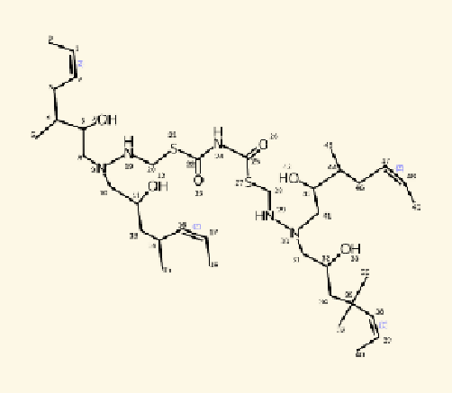 C/C=C\CC(C)C(O)CN(CC(O)CC(C)/C=C\C)NCSC(=O)NC(=O)SCNN(CC(O)CC(C)(C)/C=C\C)CC(O)C(C)C/C=C\C